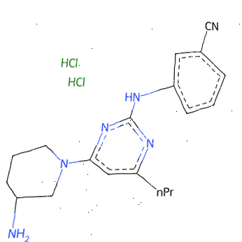 CCCc1cc(N2CCCC(N)C2)nc(Nc2cccc(C#N)c2)n1.Cl.Cl